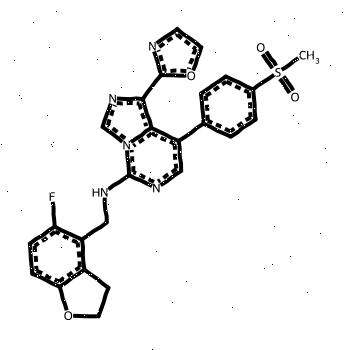 CS(=O)(=O)c1ccc(-c2cnc(NCc3c(F)ccc4c3CCO4)n3cnc(-c4ncco4)c23)cc1